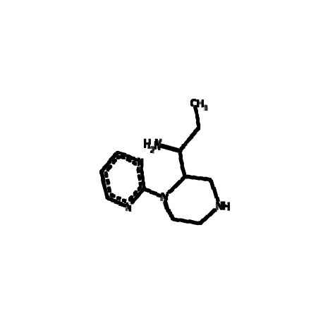 CCC(N)C1CNCCN1c1ncccn1